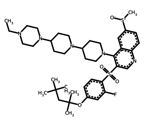 CCN1CCN(C2CCN(C3CCN(c4c(S(=O)(=O)c5ccc(OC(C)(C)CC(C)(C)C)cc5F)cnc5ccc([S+](C)[O-])cc45)CC3)CC2)CC1